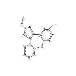 O=Cc1nc2c(s1)-c1ccccc1Oc1ccc(F)cc1-2